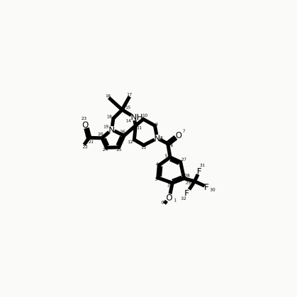 COc1ccc(C(=O)N2CCC3(CC2)NC(C)(C)Cn2c(C(C)=O)ccc23)cc1C(F)(F)F